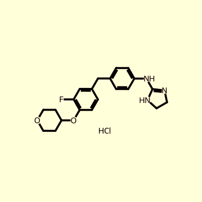 Cl.Fc1cc(Cc2ccc(NC3=NCCN3)cc2)ccc1OC1CCOCC1